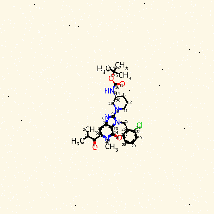 CC(C)C(=O)c1cc2nc(N3CCC[C@@H](NC(=O)OC(C)(C)C)C3)n(Cc3ccccc3Cl)c2c(=O)n1C